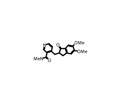 CNC(=O)c1cnccc1CC1Cc2cc(OC)c(OC)cc2C1=O